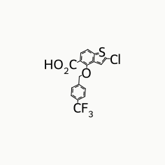 O=C(O)c1ccc2sc(Cl)cc2c1OCc1ccc(C(F)(F)F)cc1